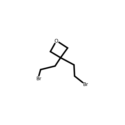 BrCCC1(CCBr)COC1